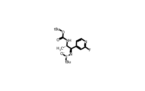 C[C@H](NC(=O)OC(C)(C)C)/C(=N\[S+]([O-])C(C)(C)C)c1ccnc(F)c1